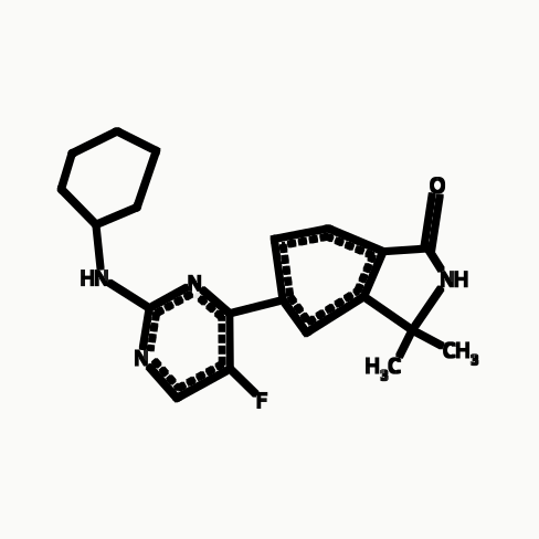 CC1(C)NC(=O)c2ccc(-c3nc(NC4CCCCC4)ncc3F)cc21